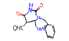 NC1C(C=O)C(=O)NC(=O)N1Cc1ccccc1